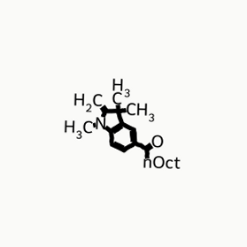 C=C1N(C)c2ccc(C(=O)CCCCCCCC)cc2C1(C)C